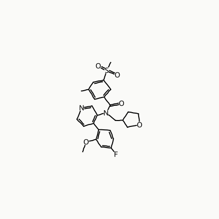 COc1cc(F)ccc1-c1ccncc1N(CC1CCOC1)C(=O)c1cc(C)cc(S(C)(=O)=O)c1